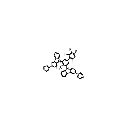 Fc1cc(F)c(-c2cc(-n3c4ccccc4c4cc(-c5ccccc5)ccc43)c(C(F)(F)F)c(-n3c4ccccc4c4cc(-c5ccccc5)ccc43)c2)c(F)c1F